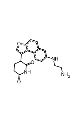 NCCNc1ccc2c(ccc3occ(C4CCC(=O)NC4=O)c32)c1